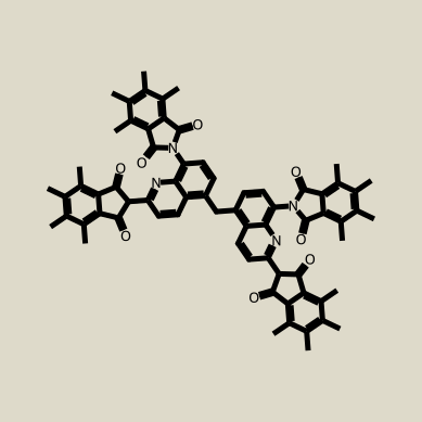 Cc1c(C)c(C)c2c(c1C)C(=O)C(c1ccc3c(Cc4ccc(N5C(=O)c6c(C)c(C)c(C)c(C)c6C5=O)c5nc(C6C(=O)c7c(C)c(C)c(C)c(C)c7C6=O)ccc45)ccc(N4C(=O)c5c(C)c(C)c(C)c(C)c5C4=O)c3n1)C2=O